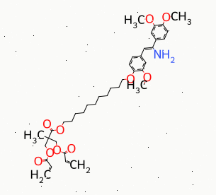 C=CC(=O)OCC(C)(COC(=O)C=C)C(=O)OCCCCCCCCCCCOc1ccc(/C=C(\N)c2ccc(OC)c(OC)c2)cc1OC